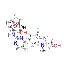 CC(C)n1c(C(C)(C)O)nc2c(F)cc(-c3nc(N[C@@H]4C[C@@H]5CC[C@@H](O5)[C@H]4O)ncc3Cl)cc21